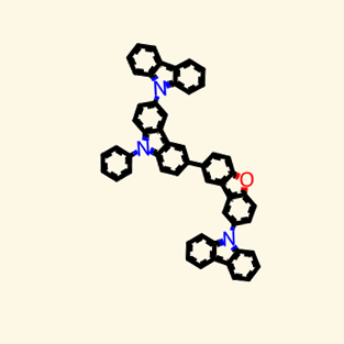 c1ccc(-n2c3ccc(-c4ccc5oc6ccc(-n7c8ccccc8c8ccccc87)cc6c5c4)cc3c3cc(-n4c5ccccc5c5ccccc54)ccc32)cc1